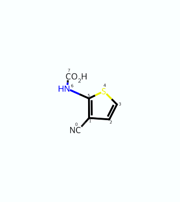 N#Cc1ccsc1NC(=O)O